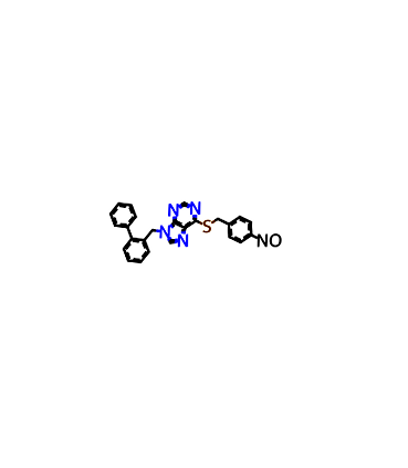 O=Nc1ccc(CSc2ncnc3c2ncn3Cc2ccccc2-c2ccccc2)cc1